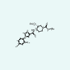 CCOC(=O)[C@@H]1CN(C(=O)OC(C)(C)C)CC[C@@H]1NC(=O)c1cn(-c2ccc(F)cc2F)nn1